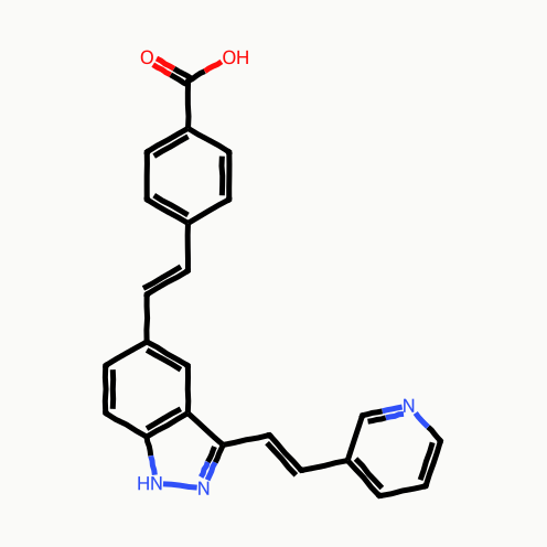 O=C(O)c1ccc(C=Cc2ccc3[nH]nc(C=Cc4cccnc4)c3c2)cc1